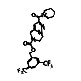 O=C(OCc1cc(C(F)(F)F)cc(C(F)(F)F)c1)N1CCn2nc(C(=O)N3CCCCC3)cc2C1